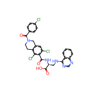 O=C(N[C@@H](CNc1ncnc2ccccc12)C(=O)O)c1c(Cl)cc2c(c1Cl)CCN(C(=O)c1ccc(Cl)cc1)C2